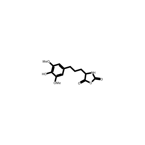 COc1cc(CCCC2NC(=O)OC2=O)cc(OC)c1O